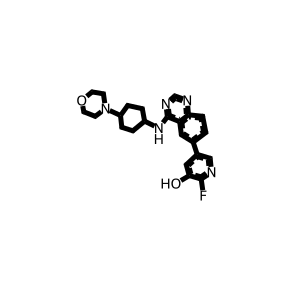 Oc1cc(-c2ccc3ncnc(NC4CCC(N5CCOCC5)CC4)c3c2)cnc1F